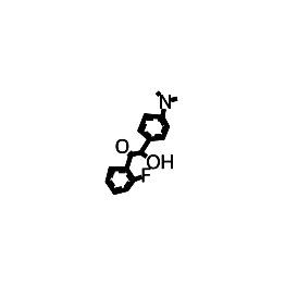 CN(C)c1ccc(C(O)C(=O)c2ccccc2F)cc1